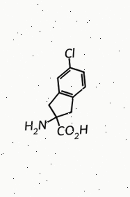 NC1(C(=O)O)Cc2ccc(Cl)cc2C1